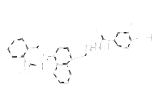 O=C(N/N=C/c1ccc(NC(=O)c2ccccc2[N+](=O)[O-])c2ccccc12)c1ccc(O)c(Cl)c1